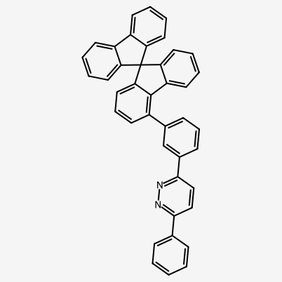 c1ccc(-c2ccc(-c3cccc(-c4cccc5c4-c4ccccc4C54c5ccccc5-c5ccccc54)c3)nn2)cc1